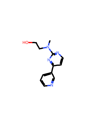 CN(CCO)c1nccc(-c2cccnc2)n1